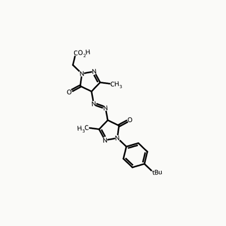 CC1=NN(CC(=O)O)C(=O)C1/N=N/C1C(=O)N(c2ccc(C(C)(C)C)cc2)N=C1C